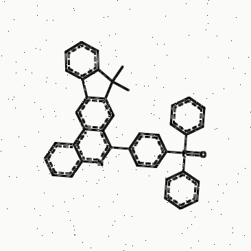 CC1(C)c2ccccc2-c2cc3c(cc21)c(-c1ccc(P(=O)(c2ccccc2)c2ccccc2)cc1)nc1ccccc13